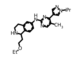 CCOCCC1NCCc2cc(Nc3ncc(C)c(-c4cnn(C(C)C)c4)n3)ccc21